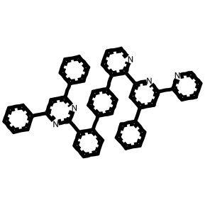 c1ccc(-c2cc(-c3ccccn3)nc(-c3ncccc3-c3ccc(-c4ccccc4-c4nc(-c5ccccc5)cc(-c5ccccc5)n4)cc3)c2)cc1